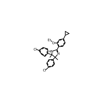 CCOc1cc(C2CC2)ccc1C1=NC(C)(c2ccc(Cl)cc2)C(C)(c2ccc(Cl)cc2)N1